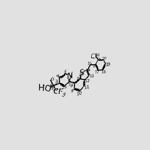 C[C@@](O)(c1ccnc(-c2cccc3cc(Cc4ccccc4Cl)sc23)c1)C(F)(F)F